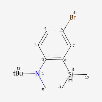 CN(c1ccc(Br)cc1[SiH](C)C)C(C)(C)C